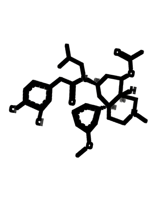 COc1cccc([C@@]23CCN(C)C[C@H]2C(OC(C)=O)C[C@H](N(CC(C)C)C(=O)Cc2ccc(Cl)c(Cl)c2)C3)c1